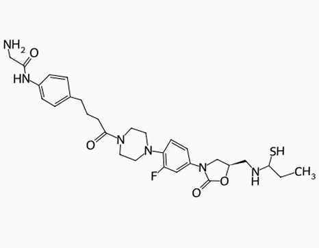 CCC(S)NC[C@@H]1CN(c2ccc(N3CCN(C(=O)CCCc4ccc(NC(=O)CN)cc4)CC3)c(F)c2)C(=O)O1